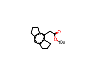 CC(C)(C)OC(=O)Cc1c2c(cc3c1CCC3)CCC2